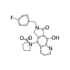 O=C1c2c(c(N3CCCS3(=O)=O)c3cccnc3c2O)CN1Cc1ccc(F)cc1